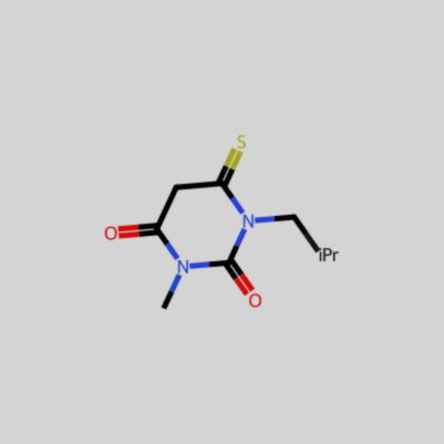 CC(C)CN1C(=O)N(C)C(=O)CC1=S